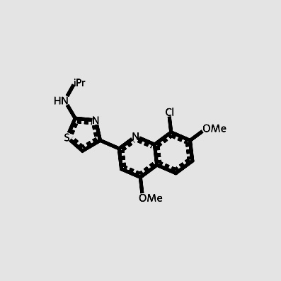 COc1ccc2c(OC)cc(-c3csc(NC(C)C)n3)nc2c1Cl